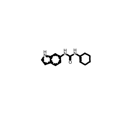 O=C(NC1=CCCCC1)Nc1ccc2cc[nH]c2c1